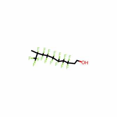 CC(F)(C(F)(F)F)C(F)(F)C(F)(F)C(F)(F)C(F)(F)C(F)(F)C(F)(F)CCO